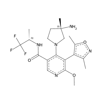 COc1ncc(C(=O)N[C@@H](C)C(F)(F)F)c(N2CC[C@](C)(N)C2)c1-c1c(C)noc1C